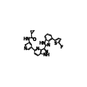 O=C(Nc1cncc(-c2ccc3[nH]nc(-c4nc5c(-c6ccc(F)s6)cccc5[nH]4)c3n2)c1)C1CC1